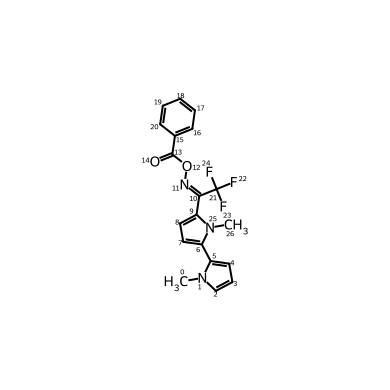 Cn1cccc1-c1ccc(/C(=N/OC(=O)c2ccccc2)C(F)(F)F)n1C